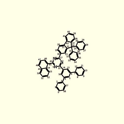 c1ccc(-c2cc(-c3ccccc3)cc(-c3nc(-c4ccc5c(c4)C(c4ccccc4)(c4ccccc4)c4ccccc4-5)nc(-c4cccc5ccccc45)n3)c2)cc1